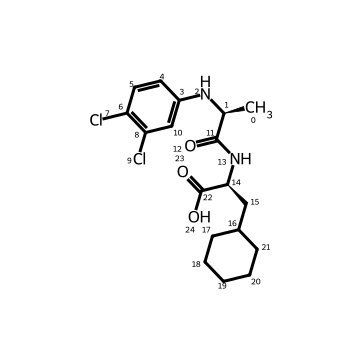 C[C@H](Nc1ccc(Cl)c(Cl)c1)C(=O)N[C@@H](CC1CCCCC1)C(=O)O